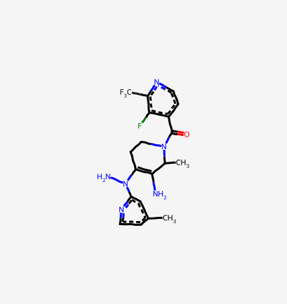 Cc1ccnc(N(N)C2=C(N)C(C)N(C(=O)c3ccnc(C(F)(F)F)c3F)CC2)c1